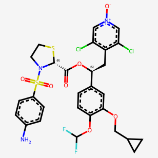 Nc1ccc(S(=O)(=O)N2CCS[C@@H]2C(=O)O[C@@H](Cc2c(Cl)c[n+]([O-])cc2Cl)c2ccc(OC(F)F)c(OCC3CC3)c2)cc1